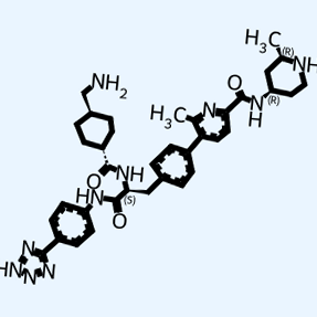 Cc1nc(C(=O)N[C@@H]2CCN[C@H](C)C2)ccc1-c1ccc(C[C@H](NC(=O)[C@H]2CC[C@H](CN)CC2)C(=O)Nc2ccc(-c3nn[nH]n3)cc2)cc1